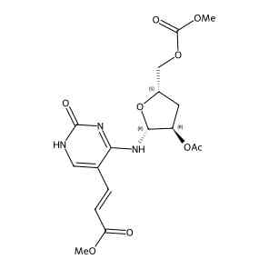 COC(=O)C=Cc1c[nH]c(=O)nc1N[C@@H]1O[C@H](COC(=O)OC)C[C@H]1OC(C)=O